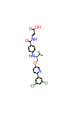 CC(C)[C@@H](COc1ccc(-c2cc(Cl)cc(Cl)c2)nc1)Nc1ccc(C(=O)N/C=C/C(=O)O)cc1